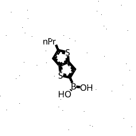 CCCc1cc2sc(B(O)O)cc2s1